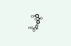 CC1(C)CN(c2ccc3c(=O)c4cccc(Cl)c4oc3c2)CC1C(=O)O